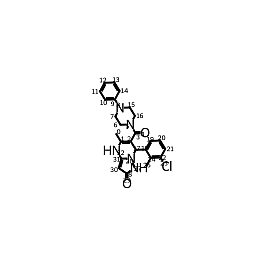 CC1=C(C(=O)N2CCN(c3ccccc3)CC2)C(c2cccc(Cl)c2C)n2[nH]c(=O)cc2N1